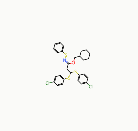 Clc1ccc(SC(C/C(=N/Sc2ccccc2)OCC2CCCCC2)Sc2ccc(Cl)cc2)cc1